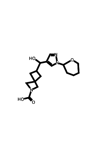 O=C(O)N1CC2(CC(C(O)c3cnn(C4CCCCO4)c3)C2)C1